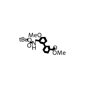 COC(=O)c1cccc(-c2ccc(OC)c(CNC(=O)OC(C)(C)C)c2)c1